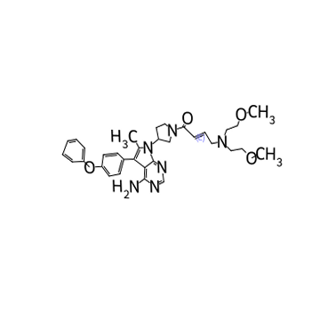 COCCN(C/C=C/C(=O)N1CCC(n2c(C)c(-c3ccc(Oc4ccccc4)cc3)c3c(N)ncnc32)C1)CCOC